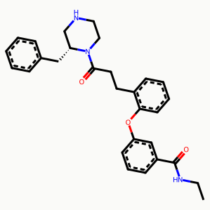 CCNC(=O)c1cccc(Oc2ccccc2CCC(=O)N2CCNC[C@H]2Cc2ccccc2)c1